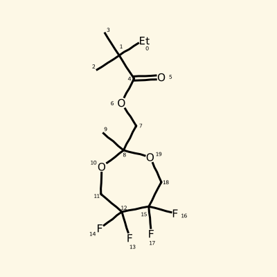 CCC(C)(C)C(=O)OCC1(C)OCC(F)(F)C(F)(F)CO1